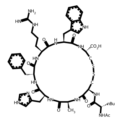 CCCC[C@H](NC(C)=O)C(=O)N[C@@H]1CSSC[C@@H](C(=O)O)NC(=O)[C@H](Cc2c[nH]c3ccccc23)NC(=O)[C@H](CCCNC(=N)N)NC(=O)[C@@H](Cc2ccccc2)NC(=O)[C@H](Cc2c[nH]cn2)NC(=O)[C@H](C)NC1=O